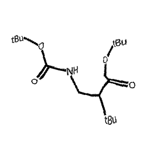 CC(C)(C)OC(=O)NCC(C(=O)OC(C)(C)C)C(C)(C)C